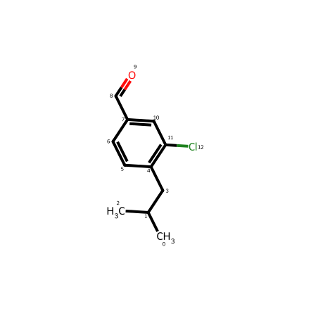 CC(C)Cc1ccc(C=O)cc1Cl